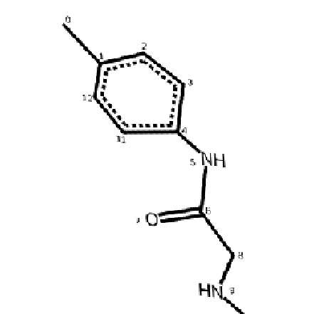 Cc1ccc(NC(=O)CNC(C)C)cc1